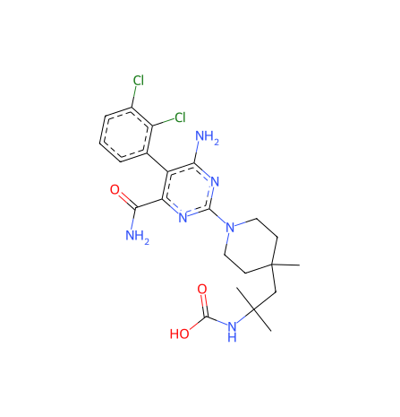 CC1(CC(C)(C)NC(=O)O)CCN(c2nc(N)c(-c3cccc(Cl)c3Cl)c(C(N)=O)n2)CC1